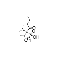 CCCC(=O)C(C(C)O)(N(C)C)S(=O)(=O)O